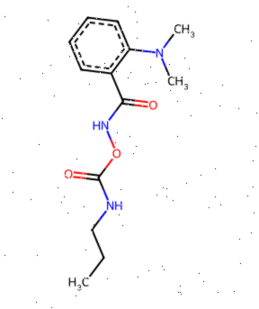 CCCNC(=O)ONC(=O)c1ccccc1N(C)C